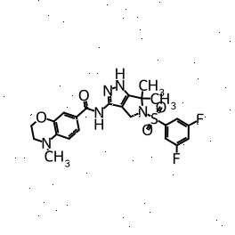 CN1CCOc2cc(C(=O)Nc3n[nH]c4c3CN(S(=O)(=O)c3cc(F)cc(F)c3)C4(C)C)ccc21